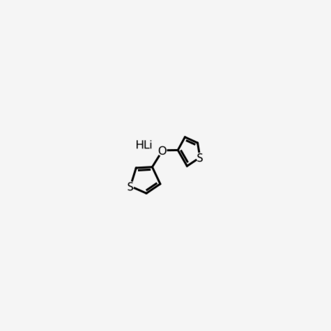 [LiH].c1cc(Oc2ccsc2)cs1